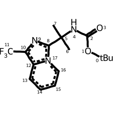 CC(C)(C)OC(=O)NC(C)(C)c1nc(C(F)(F)F)c2ccccn12